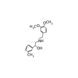 COc1ccc(CCNCC(O)c2cccc(C)c2)cc1OC